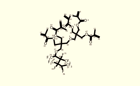 C=C(C)C(=O)OCC(COCC(COC(=O)C(=C)C)(COC(=O)C(=C)C)COC(C(F)(F)F)C(F)(C(F)(F)F)C(F)(C(F)C(F)(F)F)C(F)(F)F)(COC(=O)C(=C)C)COC(=O)C(=C)C